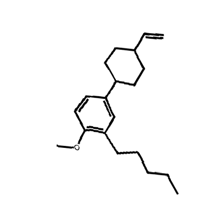 C=CC1CCC(c2ccc(OC)c(CCCCC)c2)CC1